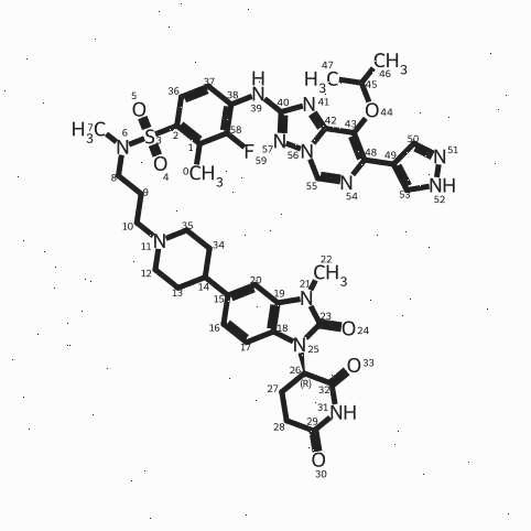 Cc1c(S(=O)(=O)N(C)CCCN2CCC(c3ccc4c(c3)n(C)c(=O)n4[C@@H]3CCC(=O)NC3=O)CC2)ccc(Nc2nc3c(OC(C)C)c(-c4cn[nH]c4)ncn3n2)c1F